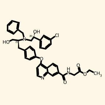 CCOC(=O)CNC(=O)c1ccc2c(Oc3ccc(C[C@@H](CO)N(Cc4ccccc4)C[C@H](O)c4cccc(Cl)c4)cc3)ccnc2c1